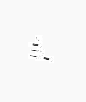 [C-]#[N+]C.[C-]#[N+]C.[C]=O.[C]=O.[Ni]